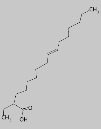 CCCCCC/C=C/CCCCCCC(CC)C(=O)O